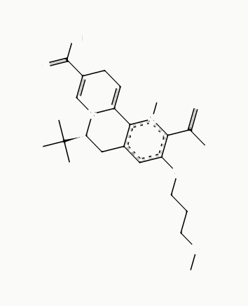 C=C(C)c1c(OCCCOC)cc2c([n+]1[O-])C1=CCC(C(=O)O)=CN1[C@H](C(C)(C)C)C2